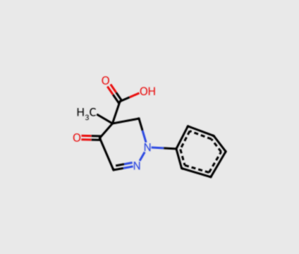 CC1(C(=O)O)CN(c2ccccc2)N=CC1=O